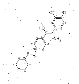 N[C@@H](c1ccc(Cl)c(Cl)c1)[C@H](O)c1ccc(OCC2CCOCC2)cc1